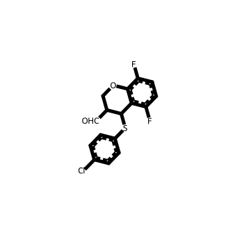 O=CC1COc2c(F)ccc(F)c2C1Sc1ccc(Cl)cc1